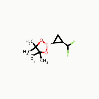 CC1(C)OB([C@@H]2C[C@H]2C(F)F)OC1(C)C